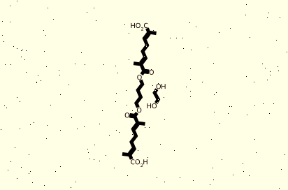 C/C(=C\CC/C=C(\C)C(=O)OCCCCOC(=O)/C(C)=C/CC/C=C(\C)C(=O)O)C(=O)O.OCCO